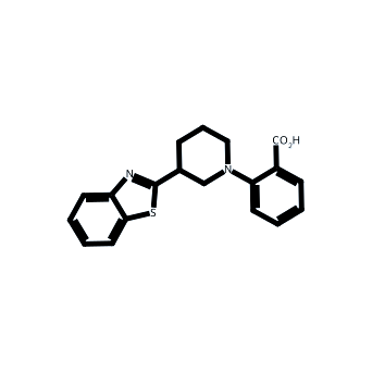 O=C(O)c1ccccc1N1CCCC(c2nc3ccccc3s2)C1